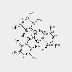 Fc1cc(F)c(F)c(OB(Oc2c(F)c(F)cc(F)c2F)Oc2c(F)c(F)cc(F)c2F)c1F